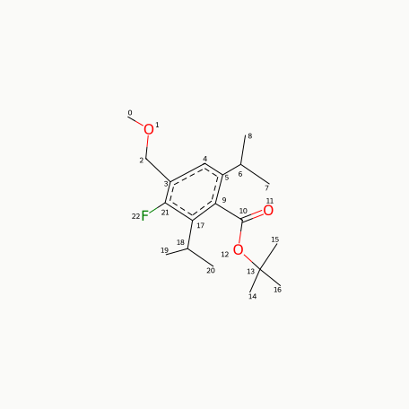 COCc1cc(C(C)C)c(C(=O)OC(C)(C)C)c(C(C)C)c1F